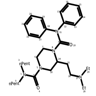 CCCCCN(CCCCC)C(=O)N1CCN(C(=O)N(c2ccccc2)c2ccccc2)C(CCN(CC)CC)C1